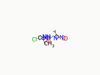 CCc1c(C(=O)NCCc2ncc(N3CCOCC3)cc2C2CC2)[nH]c2ccc(Cl)cc12